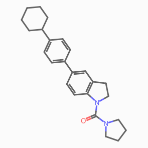 O=C(N1CCCC1)N1CCc2cc(-c3ccc(C4CCCCC4)cc3)ccc21